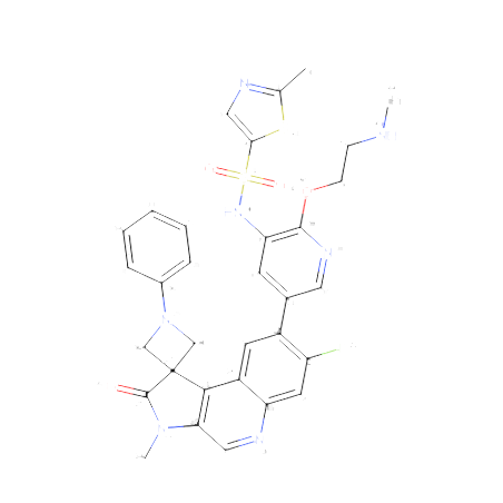 Cc1ncc(S(=O)(=O)Nc2cc(-c3cc4c5c(cnc4cc3F)N(C)C(=O)C53CN(c4ccccc4)C3)cnc2OCCNC(C)C)s1